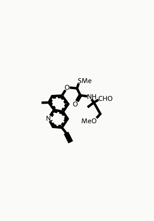 C#Cc1cnc2c(C)cc(OC(SC)C(=O)NC(C)(C=O)COC)cc2c1